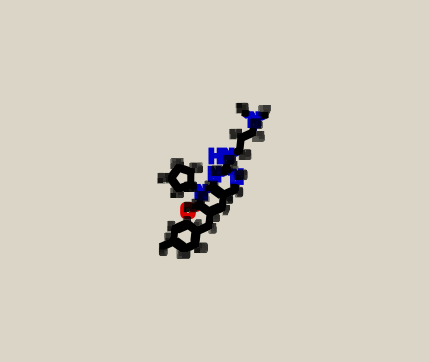 Cc1ccc(Cc2cc3cnc(NCCCN(C)C)nc3n(C3CCCC3)c2=O)cc1